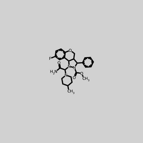 COC(=O)N1C(c2ccccc2)C2COc3ccc(F)cc3C2N1C(C(N)=O)N1CCC(C)CC1